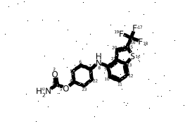 NC(=O)OC1CCC(Nc2cccc3sc(C(F)(F)F)cc23)CC1